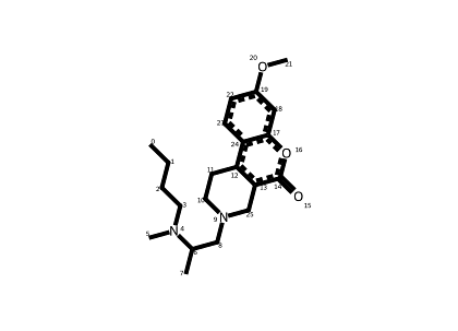 CCCCN(C)C(C)CN1CCc2c(c(=O)oc3cc(OC)ccc23)C1